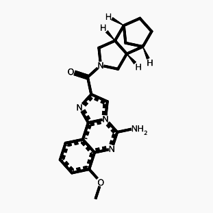 COc1cccc2c1nc(N)n1cc(C(=O)N3C[C@@H]4[C@@H]5CC[C@@H](C5)[C@@H]4C3)nc21